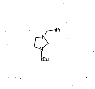 CC(C)CN1CCN(C(C)(C)C)C1